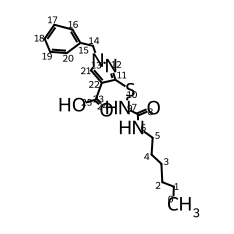 CCCCCCNC(=O)NSc1nn(Cc2ccccc2)cc1C(=O)O